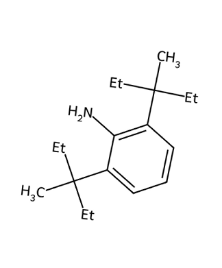 CCC(C)(CC)c1cccc(C(C)(CC)CC)c1N